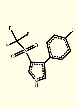 O=S(=O)(c1c[nH]cc1-c1ccc(Cl)cc1)C(F)(F)F